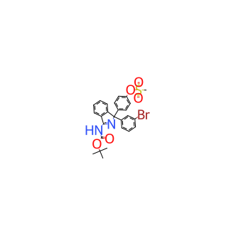 CC(C)(C)OC(=O)NC1=NC(c2ccc(OS(C)(=O)=O)cc2)(c2cccc(Br)c2)c2ccccc21